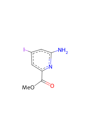 COC(=O)c1cc(I)cc(N)n1